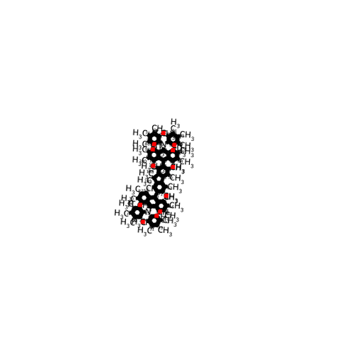 Cc1c(-c2c3c(C)c(C)c(C)c(C)c3c(N(c3c(C)c(C)c(C)c(C)c3C)c3c(C)c(C)c(C)c(C)c3C)c3c(C)c(C)c(C)c(C)c23)cc2c(c1C)-c1c(C)c(C)c(-c3c4c(C)c(C)c(C)c(C)c4c(N(c4c(C)c(C)c(C)c(C)c4C)c4c(C)c(C)c(C)c(C)c4C)c4c(C)c(C)c(C)c(C)c34)c(C)c1C2(C)C